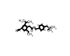 CCc1cc(C#N)cc(C(C)C)c1CC(=O)/N=C/c1ccc(CN(C)C)cc1